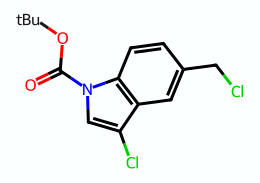 CC(C)(C)OC(=O)n1cc(Cl)c2cc(CCl)ccc21